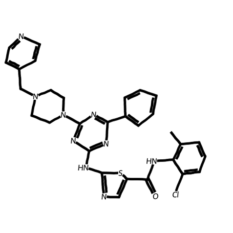 Cc1cccc(Cl)c1NC(=O)c1cnc(Nc2nc(-c3ccccc3)nc(N3CCN(Cc4ccncc4)CC3)n2)s1